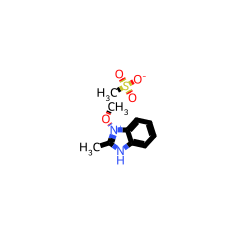 CO[n+]1c(C)[nH]c2ccccc21.CS(=O)(=O)[O-]